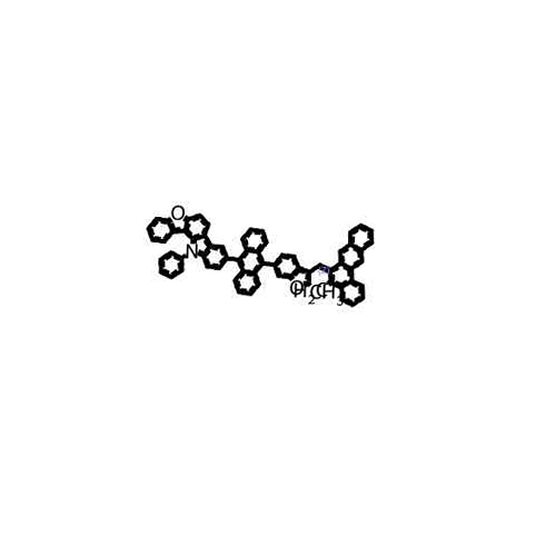 C=c1/c(=C\c2c(C)oc3cc(-c4c5ccccc5c(-c5ccc6c(c5)c5ccc7oc8ccccc8c7c5n6-c5ccccc5)c5ccccc45)ccc23)c2cc3ccccc3cc2c2ccccc12